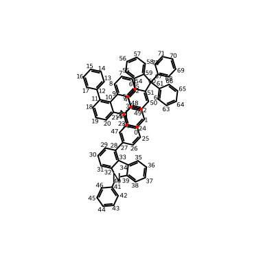 c1ccc(-c2ccccc2-c2c(-c3ccccc3)cccc2N(c2cccc(-c3cccc4c3c3ccccc3n4-c3ccccc3)c2)c2ccc3c(c2)-c2ccccc2C3(c2ccccc2)c2ccccc2)cc1